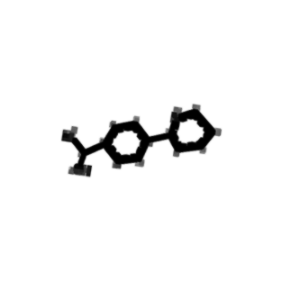 CCC(O)c1ccc(-c2ccccn2)cc1